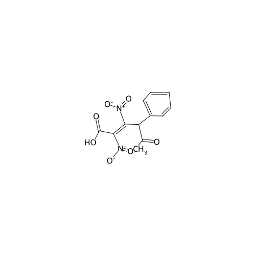 CC(=O)C(/C(=C(/C(=O)O)[N+](=O)[O-])[N+](=O)[O-])c1ccccc1